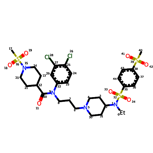 CCN(C1CCN(CCCN(C(=O)C2CCN(S(C)(=O)=O)CC2)c2ccc(Cl)c(Cl)c2)CC1)S(=O)(=O)c1ccc(S(C)(=O)=O)cc1